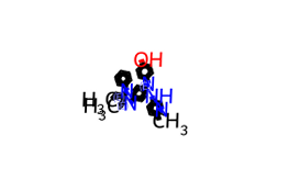 C/C=c1/nc2cc(Nc3ccc(C)nc3)/c(=N/C3CCC(O)CC3)cc-2n(-c2ccccc2)/c1=C/C